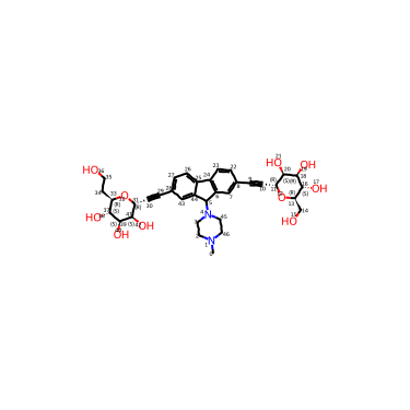 CN1CCN(C2c3cc(C#C[C@H]4O[C@H](CO)[C@@H](O)[C@H](O)[C@@H]4O)ccc3-c3ccc(C#C[C@H]4O[C@H](CCO)[C@@H](O)[C@H](O)[C@@H]4O)cc32)CC1